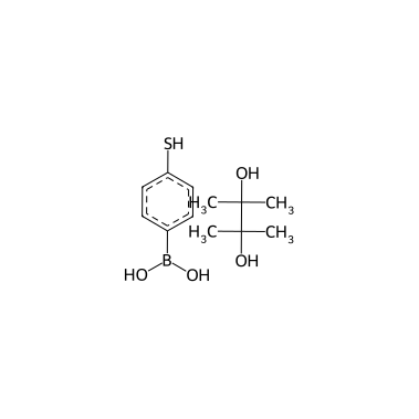 CC(C)(O)C(C)(C)O.OB(O)c1ccc(S)cc1